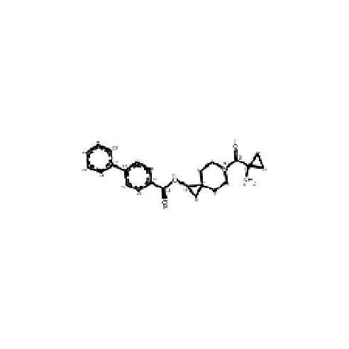 NC1(C(=O)N2CCC3(CC2)CC3OC(=O)c2ccc(-c3ccccc3)cc2)CC1